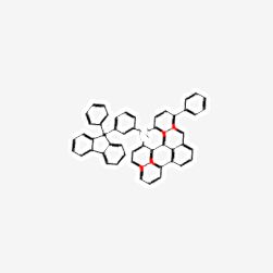 c1ccc(-c2ccc(N(c3cccc(C4(c5ccccc5)c5ccccc5-c5ccccc54)c3)c3ccccc3-c3cccc4cccc(-c5ccccc5)c34)cc2)cc1